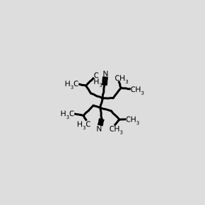 CC(C)CC(C#N)(CC(C)C)C(C#N)(CC(C)C)CC(C)C